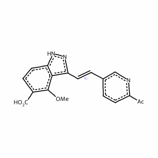 COc1c(C(=O)O)ccc2[nH]nc(/C=C/c3ccc(C(C)=O)nc3)c12